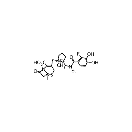 CCN(C[C@@H]1CCC[N@@+]1(C)CC1=C(C(=O)O)N2C(=O)C[C@H]2SC1)C(=O)c1ccc(O)c(O)c1F